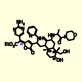 C=C1C(NC(C)C(=O)N2CCOCC2)CC2[C@](C)(CC[C@@H](O)[C@@]2(C)CO)C1CC(Nc1ccccn1)C1=C/C(=C(/C(=O)OCC)c2cnc(N)nc2)OC1=O